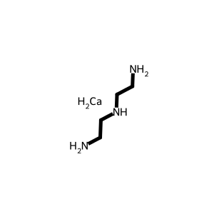 NCCNCCN.[CaH2]